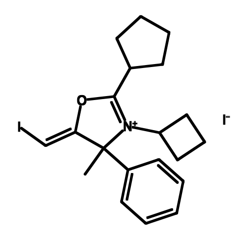 CC1(c2ccccc2)C(=CI)OC(C2CCCC2)=[N+]1C1CCC1.[I-]